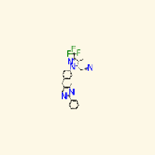 Cc1nc(-c2ccccc2)ncc1Cc1ccc(N2N=C(C(F)(F)F)[C@@H](C)[C@@H]2CC#N)cc1